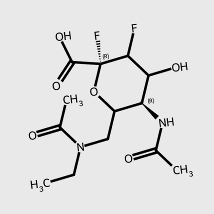 CCN(CC1O[C@@](F)(C(=O)O)C(F)C(O)[C@H]1NC(C)=O)C(C)=O